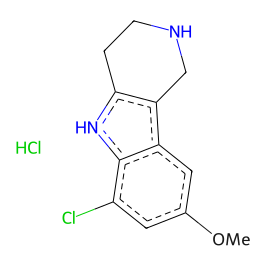 COc1cc(Cl)c2[nH]c3c(c2c1)CNCC3.Cl